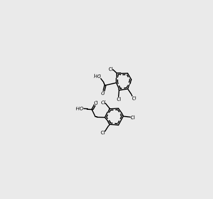 O=C(O)Cc1c(Cl)cc(Cl)cc1Cl.O=C(O)c1c(Cl)ccc(Cl)c1Cl